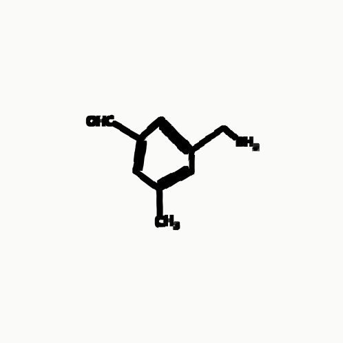 BCc1cc(C)cc(C=O)c1